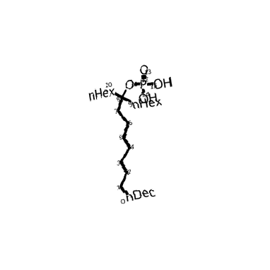 CCCCCCCCCCCCCCCCCC(CCCCCC)(CCCCCC)OP(=O)(O)O